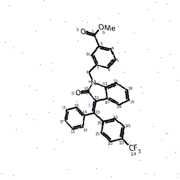 COC(=O)c1cccc(CN2C(=O)/C(=C(\c3ccccc3)c3ccc(C(F)(F)F)cc3)c3ccccc32)c1